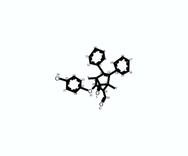 CC12C(=O)C(C)(C(c3ccccc3)=C1c1ccccc1)C(Oc1ccc(Cl)cc1)C2C=O